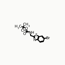 CC(C)(C)OC(=O)NCc1nc2ccc(Br)cc2s1